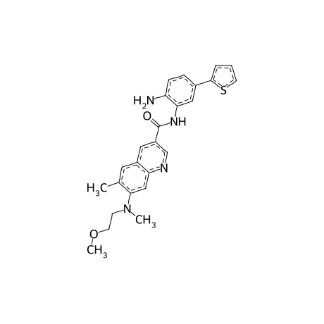 COCCN(C)c1cc2ncc(C(=O)Nc3cc(-c4cccs4)ccc3N)cc2cc1C